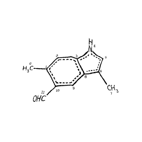 Cc1cc2[nH]cc(C)c2cc1C=O